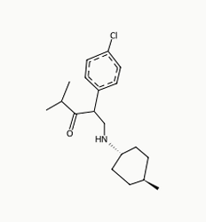 CC(C)C(=O)C(CN[C@H]1CC[C@H](C)CC1)c1ccc(Cl)cc1